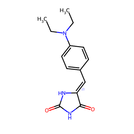 CCN(CC)c1ccc(/C=C2\NC(=O)NC2=O)cc1